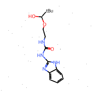 CC(C)(C)C(O)OCCNC(=O)Nc1nc2ccccc2[nH]1